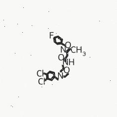 Cc1oc(-c2ccc(F)cc2)nc1CC(=O)NCC1CN(Cc2ccc(Cl)c(Cl)c2)CCO1